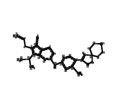 C=CCn1c(=O)c2ccc(Nc3cc(N)c(C4=NC5(CCOCC5)CO4)cn3)nc2n1C(C)C